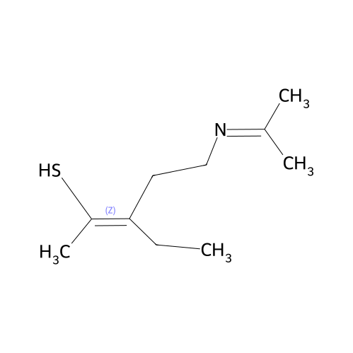 CC/C(CCN=C(C)C)=C(\C)S